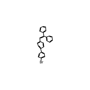 Brc1ccc(-c2ccc(C=C(c3ccccc3)c3ccccc3)cc2)cc1